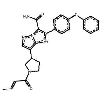 C/C=C/C(=O)N1CCC(c2cnn3c(C(N)=O)c(-c4ccc(Oc5ccccc5)cc4)[nH]c23)C1